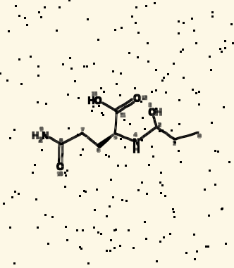 CCC(O)N[C@@H](CCC(N)=O)C(=O)O